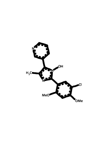 COc1cc(OC)c(-c2nc(C)c(-c3cccnc3)n2O)cc1Cl